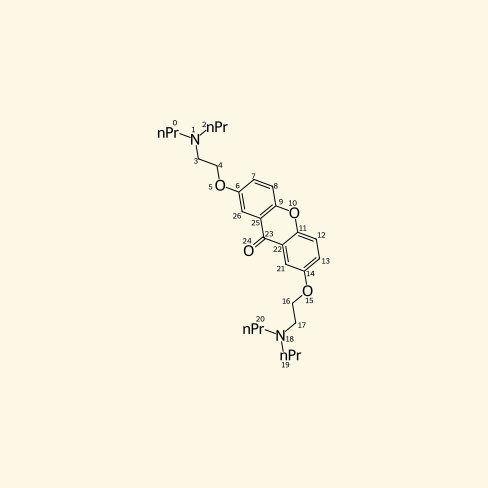 CCCN(CCC)CCOc1ccc2oc3ccc(OCCN(CCC)CCC)cc3c(=O)c2c1